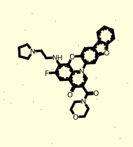 O=C(c1cn2c3c(c(NCCN4CCCC4)c(F)cc3c1=O)Oc1cc3c(cc1-2)oc1ccccc13)N1CCOCC1